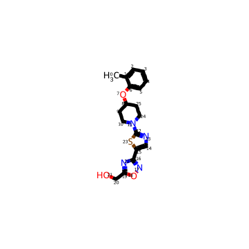 Cc1ccccc1OC1CCN(c2ncc(-c3noc(CO)n3)s2)CC1